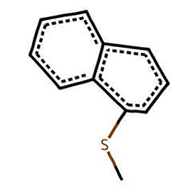 CSc1cccc2ccccc12